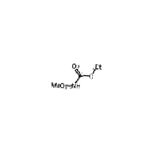 CCOC(=O)NOC